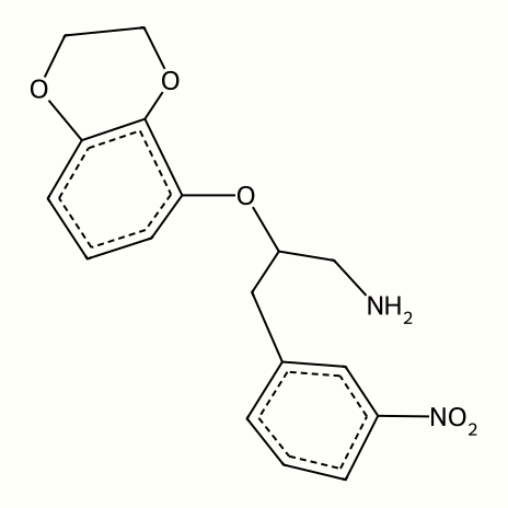 NCC(Cc1cccc([N+](=O)[O-])c1)Oc1cccc2c1OCCO2